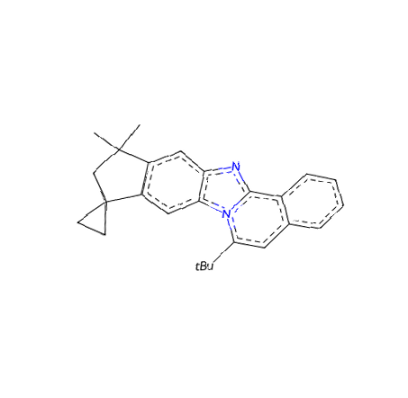 CC(C)(C)c1cc2ccccc2c2nc3cc4c(cc3n12)C1(CC1)CC4(C)C